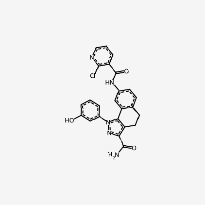 NC(=O)c1nn(-c2cccc(O)c2)c2c1CCc1ccc(NC(=O)c3cccnc3Cl)cc1-2